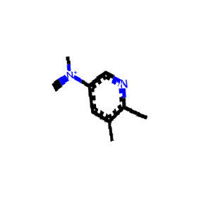 C=[N+](C)c1cnc(C)c(C)c1